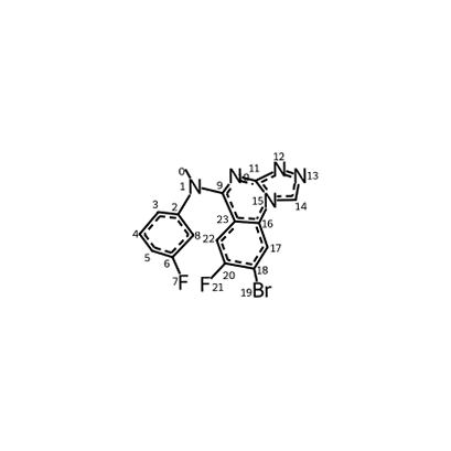 CN(c1cccc(F)c1)c1nc2nncn2c2cc(Br)c(F)cc12